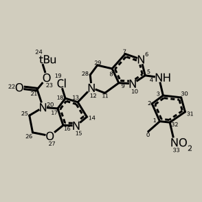 Cc1cc(Nc2ncc3c(n2)CN(c2cnc4c(c2Cl)N(C(=O)OC(C)(C)C)CCO4)CC3)ccc1[N+](=O)[O-]